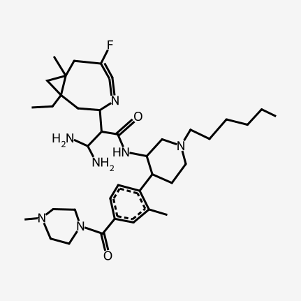 CCCCCCN1CCC(c2ccc(C(=O)N3CCN(C)CC3)cc2C)C(NC(=O)C(C(N)N)C2CC3(CC)CC3(C)CC(F)=C=N2)C1